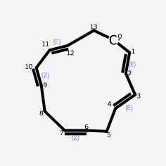 [CH]1/C=C/C=C/C/C=C\C/C=C\C=C\C1